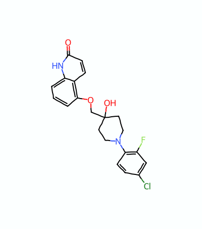 O=c1ccc2c(OCC3(O)CCN(c4ccc(Cl)cc4F)CC3)cccc2[nH]1